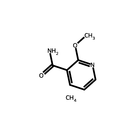 C.COc1ncccc1C(N)=O